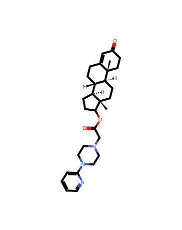 C[C@]12CCC(=O)C=C1CC[C@@H]1[C@@H]2CC[C@]2(C)C(OC(=O)CN3CCN(c4ccccn4)CC3)CC[C@@H]12